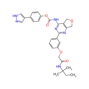 CCC(C)(C)NC(=O)COc1cccc(-c2nc3c(c(NC(=O)Oc4ccc(-c5cn[nH]c5)cc4)n2)COC3)c1